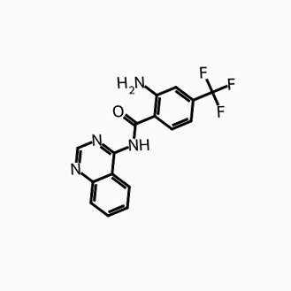 Nc1cc(C(F)(F)F)ccc1C(=O)Nc1ncnc2ccccc12